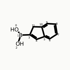 OB(O)C1=Cc2ccccc2C1